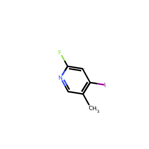 Cc1cnc(F)[c]c1I